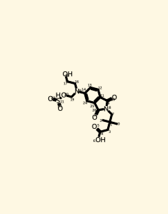 CC(C)(CC(=O)O)CN1C(=O)c2ccc(N(CCO)CO[SH](=O)=O)cc2C1=O